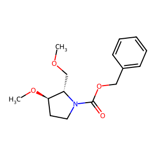 COC[C@H]1[C@H](OC)CCN1C(=O)OCc1ccccc1